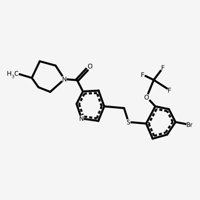 CC1CCN(C(=O)c2cncc(CSc3ccc(Br)cc3OC(F)(F)F)c2)CC1